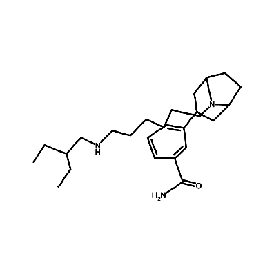 CCC(CC)CNCCCCCCN1C2CCC1CC(c1cccc(C(N)=O)c1)C2